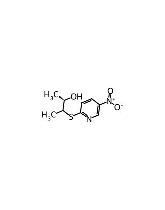 CC(Sc1ccc([N+](=O)[O-])cn1)[C@@H](C)O